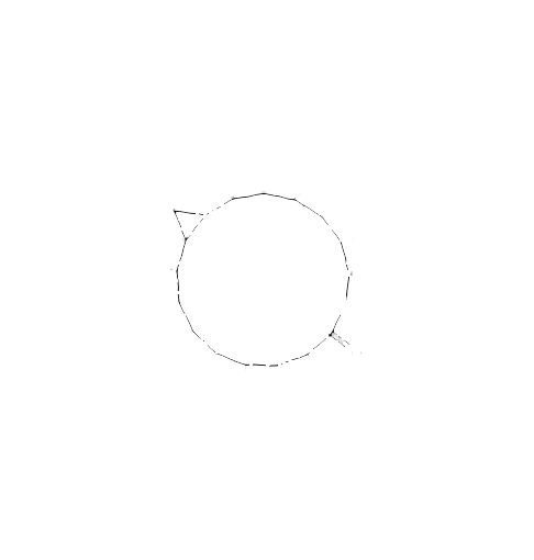 O=C1CCCCCCCC2CC2CCCCCCO1